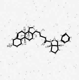 C[C@H](CCC(=O)N1O[C@H](c2ccccc2)[C@@H]2CCC[C@@H]21)[C@H]1CC[C@H]2[C@@H]3CC=C4C[C@@H](O)CC[C@]4(C)[C@H]3CC[C@]12C